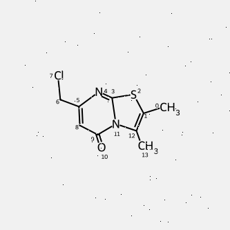 Cc1sc2nc(CCl)cc(=O)n2c1C